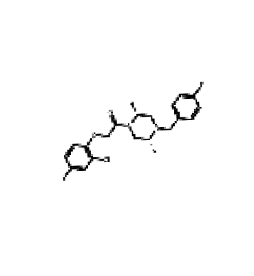 Cc1ccc(OCC(=O)N2C[C@@H](C)N(Cc3ccc(F)cc3)C[C@@H]2C)c(Cl)c1